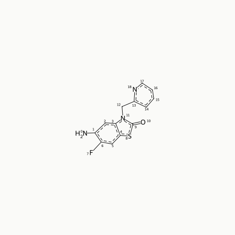 Nc1cc2c(cc1F)sc(=O)n2Cc1ccccn1